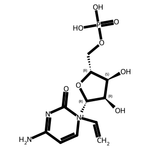 C=C[N+]1([C@@H]2O[C@H](COP(=O)(O)O)[C@@H](O)[C@H]2O)C=CC(N)=NC1=O